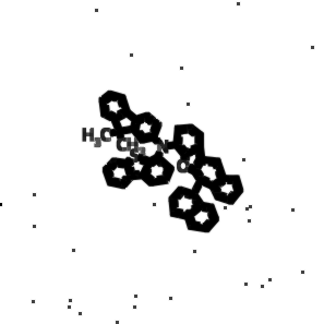 CC1(C)c2ccccc2-c2ccc(N(c3cccc4c3oc3c(-c5cccc6ccccc56)c5ccccc5cc34)c3cccc4c3sc3ccccc34)cc21